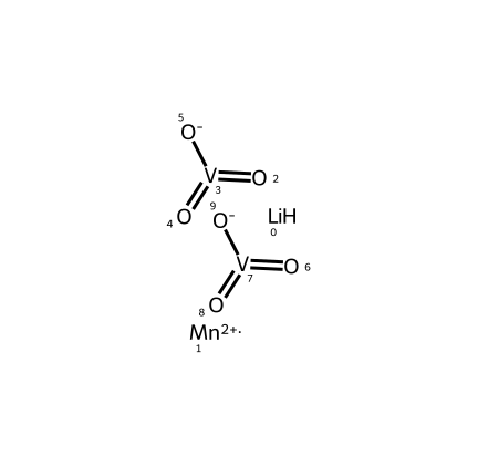 [LiH].[Mn+2].[O]=[V](=[O])[O-].[O]=[V](=[O])[O-]